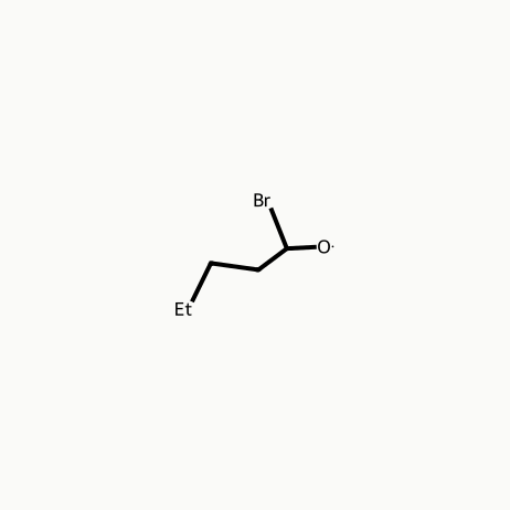 CCCCC([O])Br